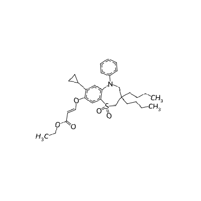 CCCCC1(CCCC)CN(c2ccccc2)c2cc(C3CC3)c(O/C=C/C(=O)OCC)cc2S(=O)(=O)C1